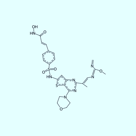 C=N/C(=N\C=C(/C)c1nc(N2CCOCC2)c2sc(NS(=O)(=O)c3ccc(/C=C/C(=O)NO)cc3)cc2n1)OC